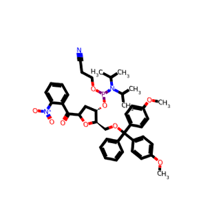 COc1ccc(C(OC[C@H]2OC(C(=O)c3ccccc3[N+](=O)[O-])C[C@@H]2OP(OCCC#N)N(C(C)C)C(C)C)(c2ccccc2)c2ccc(OC)cc2)cc1